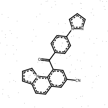 N#Cc1cc(C(=O)c2ccc(-n3cccn3)cc2)c2c(ccc3cccn32)c1